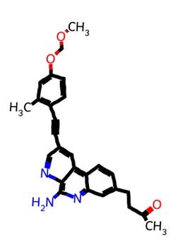 COCOc1ccc(C#Cc2cnc3c(N)nc4cc(CCC(C)=O)ccc4c3c2)c(C)c1